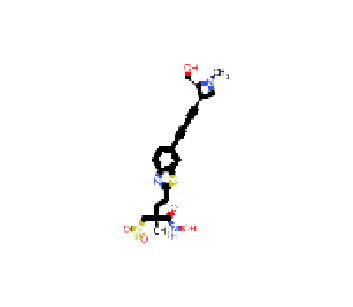 CN1C[C@@H](C#CC#Cc2ccc3nc(CC[C@@](C)(C[SH](=O)=O)C(=O)NO)sc3c2)[C@@H]1CO